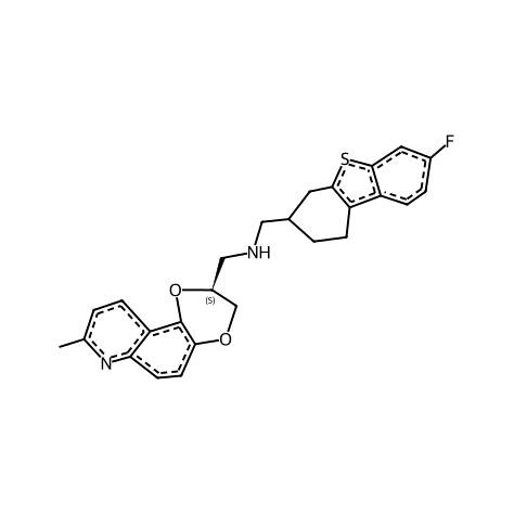 Cc1ccc2c3c(ccc2n1)OC[C@H](CNCC1CCc2c(sc4cc(F)ccc24)C1)O3